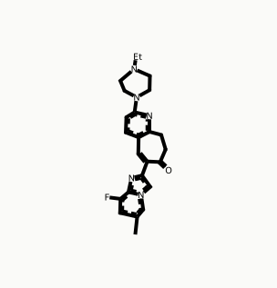 CCN1CCN(c2ccc3c(n2)CCC(=O)C(c2cn4cc(C)cc(F)c4n2)=C3)CC1